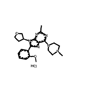 COc1ccccc1-c1nc2c(N3CCN(C)CC3)nc(C)nc2n1C1CCOC1.Cl